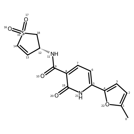 Cc1ccc(-c2ccc(C(=O)N[C@@H]3C=CS(=O)(=O)C3)c(=O)[nH]2)o1